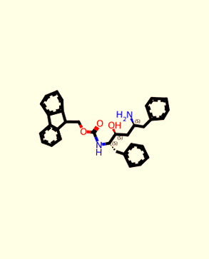 N[C@@H](Cc1ccccc1)C[C@H](O)[C@H](Cc1ccccc1)NC(=O)OCC1c2ccccc2-c2ccccc21